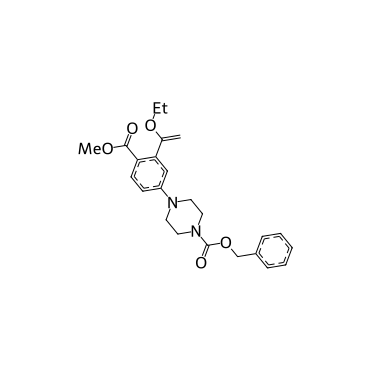 C=C(OCC)c1cc(N2CCN(C(=O)OCc3ccccc3)CC2)ccc1C(=O)OC